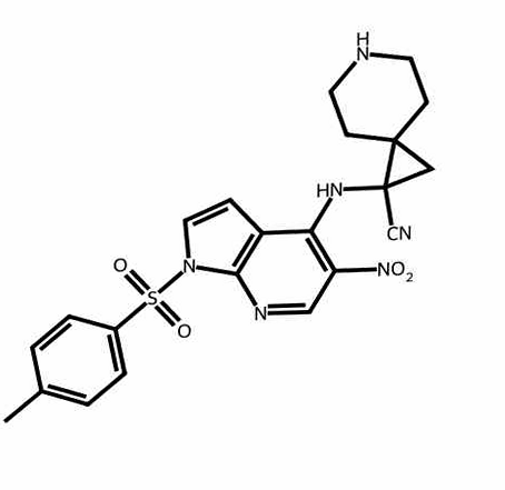 Cc1ccc(S(=O)(=O)n2ccc3c(NC4(C#N)CC45CCNCC5)c([N+](=O)[O-])cnc32)cc1